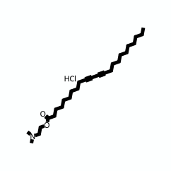 CCCCCCCCCCC#CC#CCCCCCCCCC(=O)OCCN(C)C.Cl